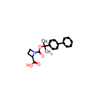 CC(C)(OC(=O)N1CCC1C(=O)O)c1ccc(-c2ccccc2)cc1